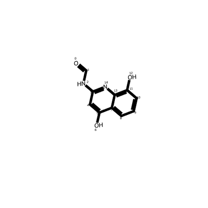 O=CNc1cc(O)c2cccc(O)c2n1